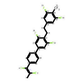 C/C(F)=C(\F)c1ccc(-c2cc(F)c(CCc3cc(F)c(C(F)(F)F)c(F)c3)c(F)c2)cc1